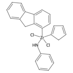 [Cl][Zr]([Cl])([NH]c1ccccc1)([C]1=CC=CC1)[c]1cccc2c1Cc1ccccc1-2